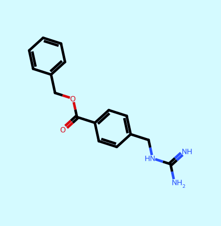 N=C(N)NCc1ccc(C(=O)OCc2ccccc2)cc1